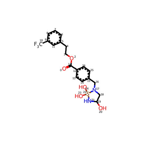 O=C(OCCc1cccc(C(F)(F)F)c1)c1ccc(CN2CC(O)NS2(O)O)cc1